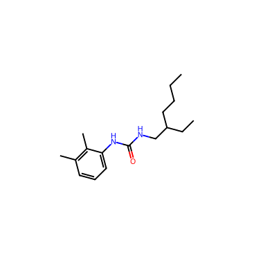 CCCCC(CC)CNC(=O)Nc1cccc(C)c1C